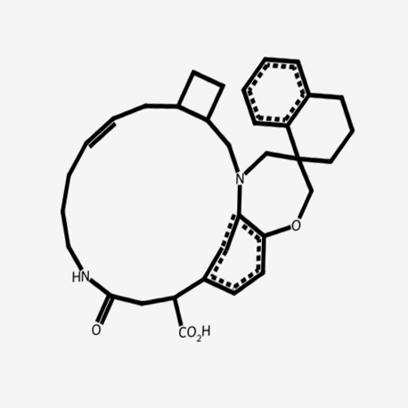 O=C1CC(C(=O)O)c2ccc3c(c2)N(CC2CCC2CC=CCCCN1)CC1(CCCc2ccccc21)CO3